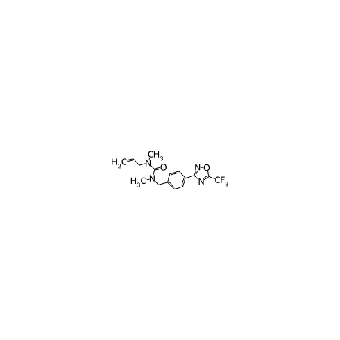 C=CCN(C)C(=O)N(C)Cc1ccc(-c2noc(C(F)(F)F)n2)cc1